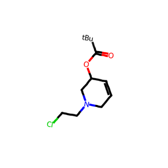 CC(C)(C)C(=O)OC1C=CCN(CCCl)C1